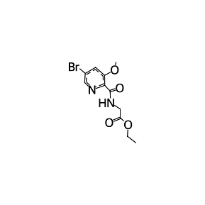 CCOC(=O)CNC(=O)c1ncc(Br)cc1OC